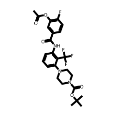 CC(=O)Oc1cc(C(=O)Nc2cccc(N3CCN(C(=O)OC(C)(C)C)CC3)c2C(F)(F)F)ccc1F